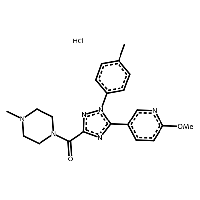 COc1ccc(-c2nc(C(=O)N3CCN(C)CC3)nn2-c2ccc(C)cc2)cn1.Cl